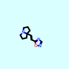 C(=CC12CCCN1CCC2)c1ncno1